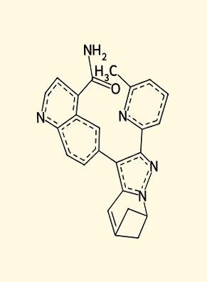 Cc1cccc(-c2nn3c(c2-c2ccc4nccc(C(N)=O)c4c2)C=C2CC3C2)n1